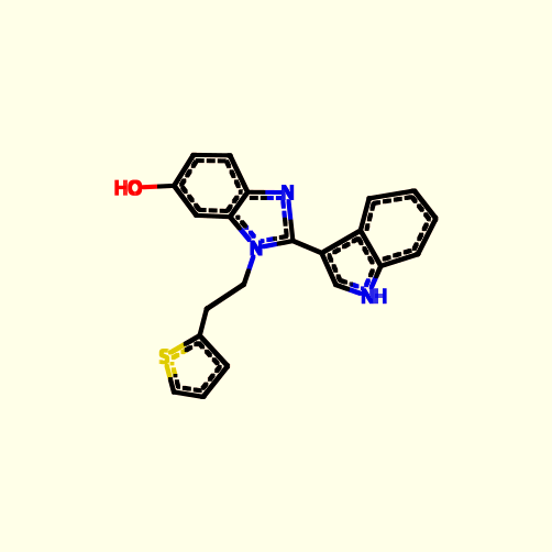 Oc1ccc2nc(-c3c[nH]c4ccccc34)n(CCc3cccs3)c2c1